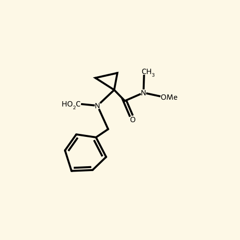 CON(C)C(=O)C1(N(Cc2ccccc2)C(=O)O)CC1